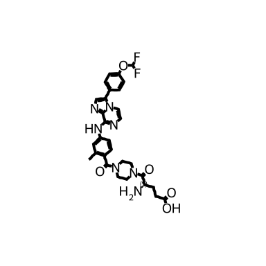 Cc1cc(Nc2nccn3c(-c4ccc(OC(F)F)cc4)cnc23)ccc1C(=O)N1CCN(C(=O)[C@@H](N)CCC(=O)O)CC1